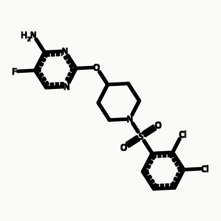 Nc1nc(OC2CCN(S(=O)(=O)c3cccc(Cl)c3Cl)CC2)ncc1F